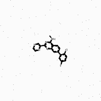 CNc1nc(-c2cnccn2)nc2cc(-c3cc(F)ccc3Cl)ccc12